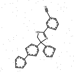 N#Cc1cccc(C2=NC(c3ccccc3)(c3ccc(-c4ccccc4)cc3)CN2)c1